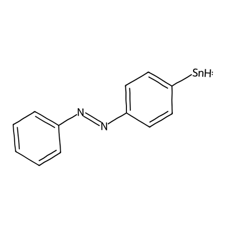 [SnH][c]1ccc(N=Nc2ccccc2)cc1